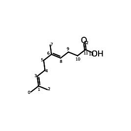 CC(C)=CCCC(C)=CCCC(=O)O